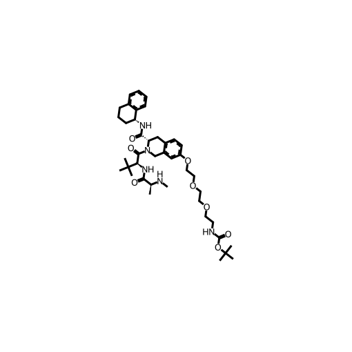 CN[C@@H](C)C(=O)N[C@H](C(=O)N1Cc2cc(OCCOCCOCCNC(=O)OC(C)(C)C)ccc2C[C@H]1C(=O)N[C@@H]1CCCc2ccccc21)C(C)(C)C